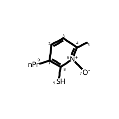 CCCc1ccc(C)[n+]([O-])c1S